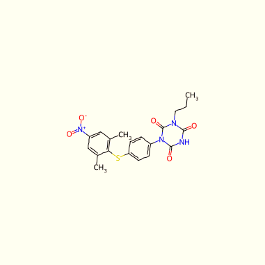 CCCn1c(=O)[nH]c(=O)n(-c2ccc(Sc3c(C)cc([N+](=O)[O-])cc3C)cc2)c1=O